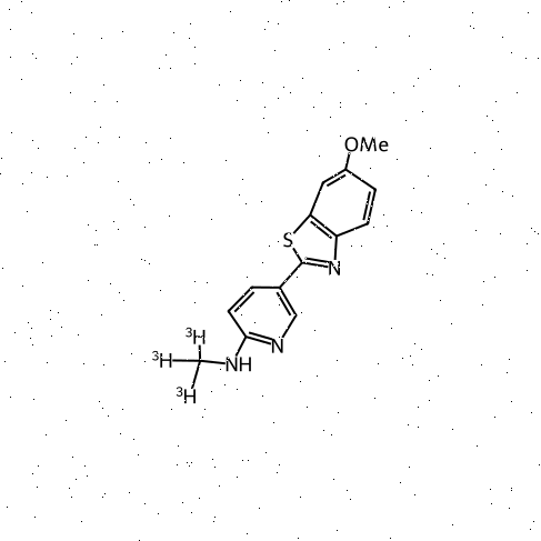 [3H]C([3H])([3H])Nc1ccc(-c2nc3ccc(OC)cc3s2)cn1